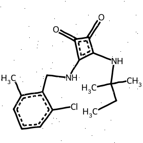 CCC(C)(C)Nc1c(NCc2c(C)cccc2Cl)c(=O)c1=O